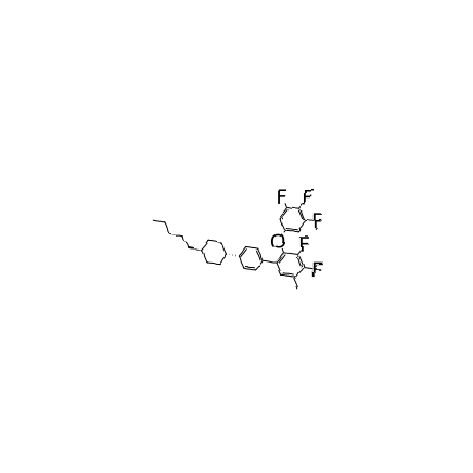 CCCCC[C@H]1CC[C@H](c2ccc(-c3cc(C)c(F)c(F)c3Oc3cc(F)c(F)c(F)c3)cc2)CC1